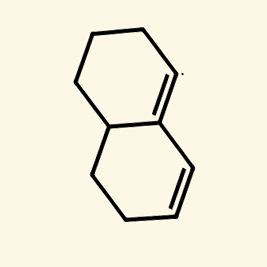 [C]1=C2C=CCCC2CCC1